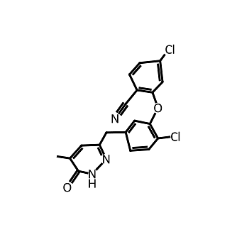 Cc1cc(Cc2ccc(Cl)c(Oc3cc(Cl)ccc3C#N)c2)n[nH]c1=O